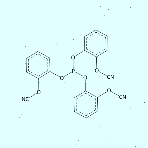 N#COc1ccccc1OP(Oc1ccccc1OC#N)Oc1ccccc1OC#N